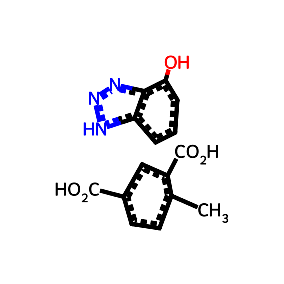 Cc1ccc(C(=O)O)cc1C(=O)O.Oc1cccc2[nH]nnc12